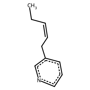 CC/C=C\Cc1cccnc1